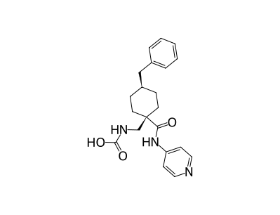 O=C(O)NC[C@]1(C(=O)Nc2ccncc2)CC[C@H](Cc2ccccc2)CC1